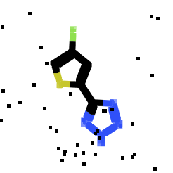 Fc1[c]sc(-c2nn[nH]n2)c1